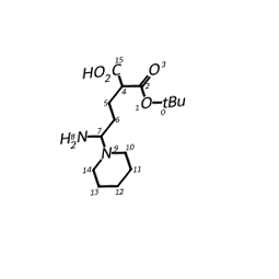 CC(C)(C)OC(=O)C(CCC(N)N1CCCCC1)C(=O)O